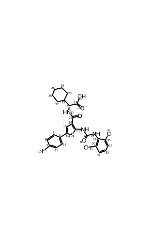 O=C(Nc1sc(-c2ccc(F)cc2)cc1C(=O)N[C@H](C(=O)O)C1CCCCC1)Nc1c(Cl)cccc1Cl